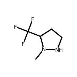 CN1NC[CH]C1C(F)(F)F